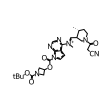 C[C@@H]1CCN(C(=O)CC#N)CC1/C=[N+](\C)c1ncnc2c1ccn2C(=O)OC1CN(C(=O)OC(C)(C)C)C1